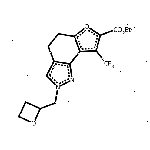 CCOC(=O)c1oc2c(c1C(F)(F)F)-c1nn(CC3CCO3)cc1CC2